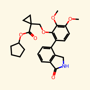 COc1ccc(-c2cccc3c2CNC3=O)c(OCC2(C(=O)OC3CCCC3)CC2)c1OC